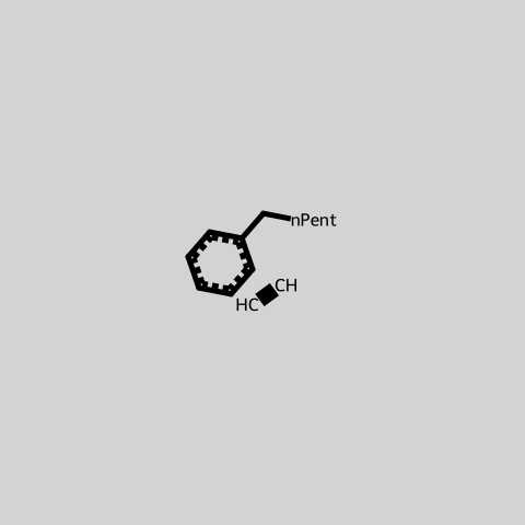 C#C.CCCCCCc1ccccc1